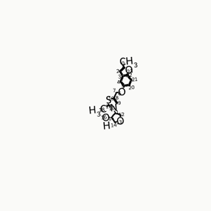 Cc1cc2cc(OCC3=CN([C@@H]4COC[C@@H]4O)C(C)S3)ccc2o1